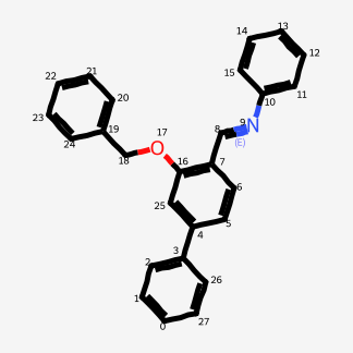 [c]1ccc(-c2ccc(/C=N/c3ccccc3)c(OCc3ccccc3)c2)cc1